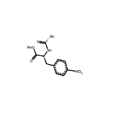 CC[C@@H](C)C(=O)N[C@@H](Cc1ccc([N+](=O)[O-])cc1)C(=O)OC